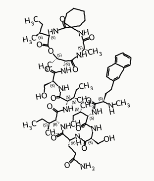 CC[C@H](C)[C@H](NC(=O)[C@@H](CCc1ccc2ccccc2c1)NC)C(=O)N[C@@H](CO)C(=O)N[C@H](CCC(N)=O)C(=O)N[C@@H](C(=O)N[C@H](C(=O)N[C@@H](CO)C(=O)N[C@H]1C(=O)N[C@@H](C)C(=O)NC2(CCCCCC2)C(=O)N[C@@H]([C@@H](C)CC)C(=O)O[C@H]1C)[C@@H](C)CC)[C@@H](C)CC